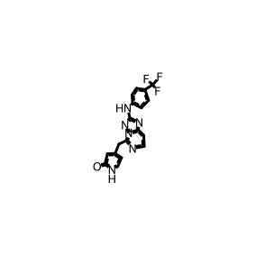 O=c1cc(Cc2nccc3nc(Nc4ccc(C(F)(F)F)cc4)nn23)cc[nH]1